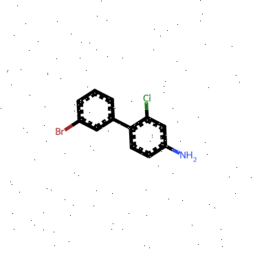 Nc1ccc(-c2cccc(Br)c2)c(Cl)c1